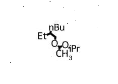 CCCCC(CC)COC(C)OC(C)C